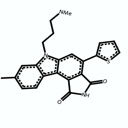 CNCCCn1c2cc(C)ccc2c2c3c(c(-c4cccs4)cc21)C(=O)NC3=O